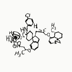 CC(CCOP(=O)(O)O)Oc1ccc2c(c1)C1(CCC(Nc3cccc(Cl)c3)(C(=O)O)CC1)[C@@H](C[C@@H](C)COc1ccnc3c1[C@H](C)CCC3)C2